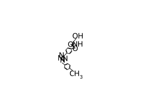 CCc1ccc(Cn2nnc(-c3ccc(S(=O)(=O)NCCO)cc3)n2)cc1